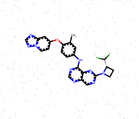 Cc1cc(Nc2ncnc3cnc(N4CC[C@H]4C(F)F)nc23)ccc1Oc1ccn2ncnc2c1